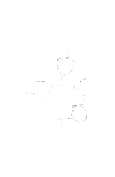 Cc1c([C@@H](C)NC(=O)c2cc(Br)ccc2NC2CCN(C)CC2)cccc1C(F)(F)F